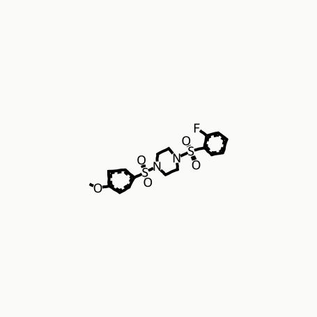 COc1ccc(S(=O)(=O)N2CCN(S(=O)(=O)c3ccccc3F)CC2)cc1